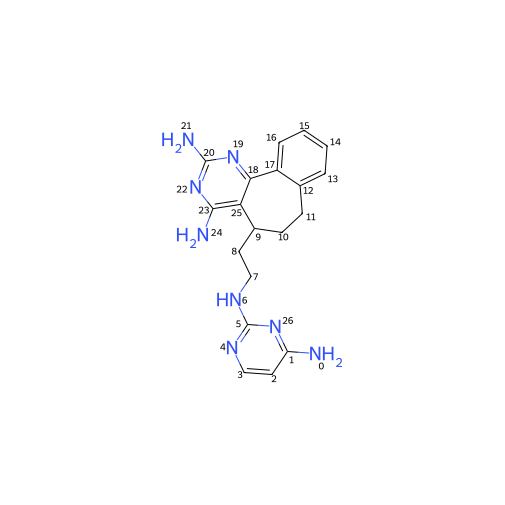 Nc1ccnc(NCCC2CCc3ccccc3-c3nc(N)nc(N)c32)n1